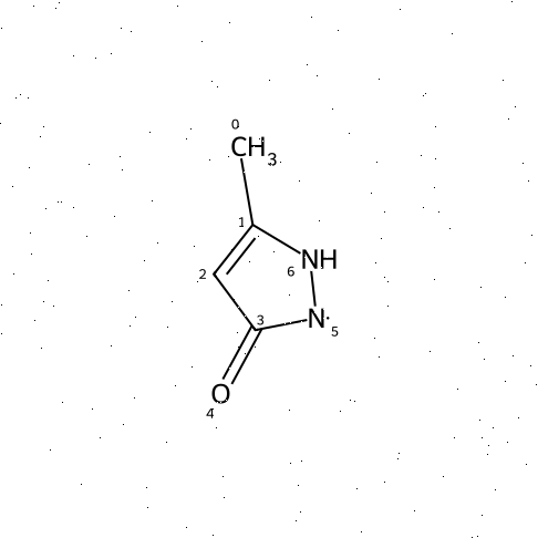 CC1=CC(=O)[N]N1